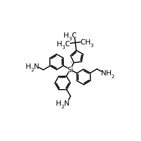 CC(C)(C)C1=C[C]([Si](c2cccc(CN)c2)(c2cccc(CN)c2)c2cccc(CN)c2)C=C1